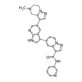 CN1CCn2ncc(-c3cnc4[nH]cc(-c5ccn6ncc(C(=O)Nc7cccnc7)c6c5)c4c3)c2C1